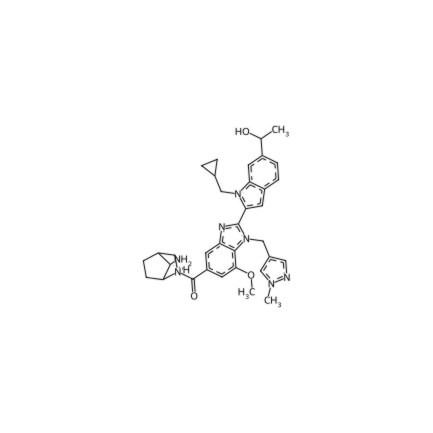 COc1cc(C(=O)N2CC3CCC2[C@@H]3N)cc2nc(-c3cc4ccc(C(C)O)cc4n3CC3CC3)n(Cc3cnn(C)c3)c12